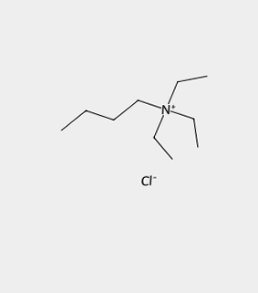 CCCC[N+](CC)(CC)CC.[Cl-]